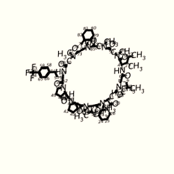 CC[C@H](C)[C@@H]1NC(=O)[C@H](CC(C)C)N(C)C(=O)C[C@@H](C(=O)N2CCCCC2)N(C)C(=O)[C@H](C(C)C)N(C)C(=O)C2(CCCC2)NC(=O)[C@@H]2CCCN2C(=O)[C@H](CCc2ccc(C(F)(F)F)cc2)NC(=O)CN(C)C(=O)[C@H](CC2CCCCC2)N(C)C(=O)CN(C)C(=O)CN(C)C1=O